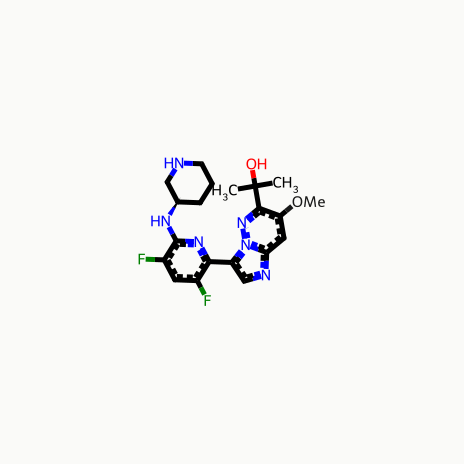 COc1cc2ncc(-c3nc(N[C@@H]4CCCNC4)c(F)cc3F)n2nc1C(C)(C)O